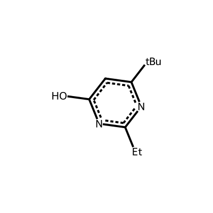 CCc1nc(O)cc(C(C)(C)C)n1